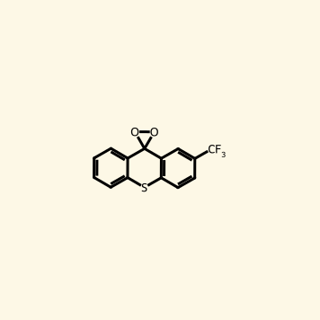 FC(F)(F)c1ccc2c(c1)C1(OO1)c1ccccc1S2